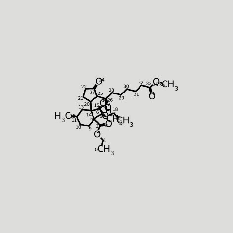 CCOC(=O)C1(C(C)C)CCC(C)CC1(C(=O)OCC)C1CCC(=O)C1C(=O)CCCCCC(=O)OC